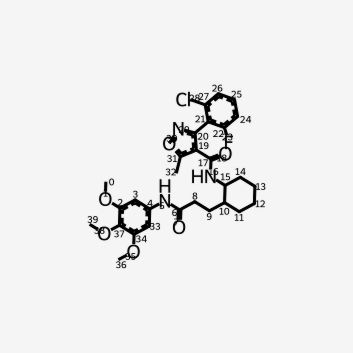 COc1cc(NC(=O)CCC2CCCCC2NC(=O)c2c(-c3c(F)cccc3Cl)noc2C)cc(OC)c1OC